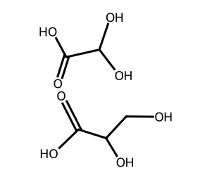 O=C(O)C(O)CO.O=C(O)C(O)O